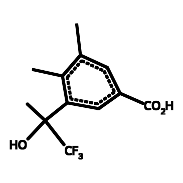 Cc1cc(C(=O)O)cc(C(C)(O)C(F)(F)F)c1C